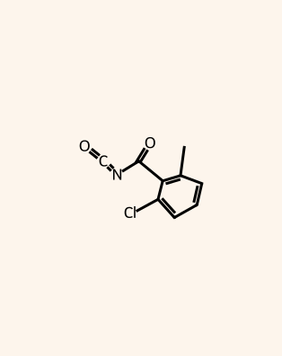 Cc1cccc(Cl)c1C(=O)N=C=O